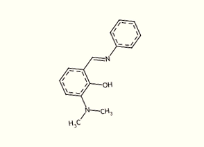 CN(C)c1cccc(/C=N/c2ccccc2)c1O